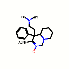 CC(=O)NC1=[N+]([O-])CN2CCCCC2C1(CCN(C(C)C)C(C)C)c1ccccc1